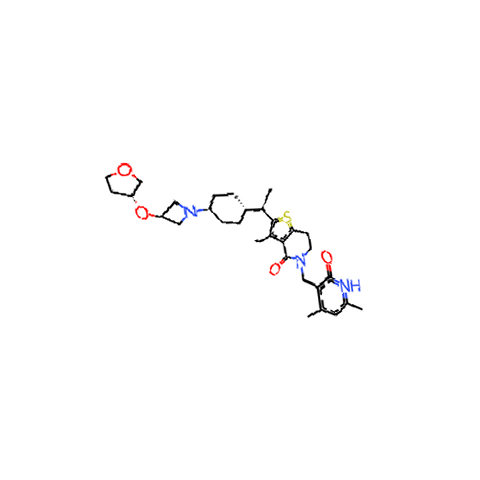 Cc1cc(C)c(CN2CCc3sc([C@H](C)[C@H]4CC[C@H](N5CC(O[C@@H]6CCOC6)C5)CC4)c(C)c3C2=O)c(=O)[nH]1